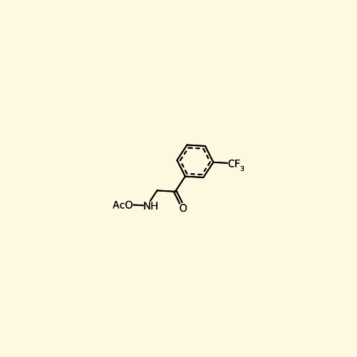 CC(=O)ONCC(=O)c1cccc(C(F)(F)F)c1